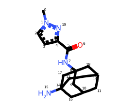 Cn1ccc(C(=O)NC23CC4CC(CC(N)(C4)C2)C3)n1